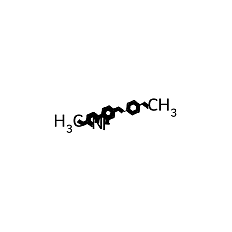 CCC[C@H]1CC[C@H](CCc2ccc(-c3ccc(CC)cn3)c(F)c2)CC1